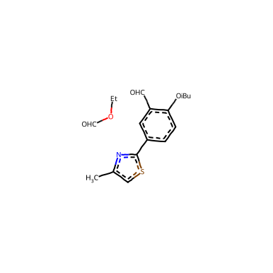 CCOC=O.Cc1csc(-c2ccc(OCC(C)C)c(C=O)c2)n1